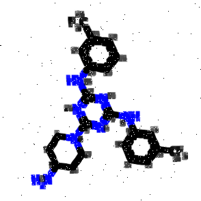 NC1CCN(c2nc(Nc3cccc(C(F)(F)F)c3)nc(Nc3cccc(C(F)(F)F)c3)n2)CC1